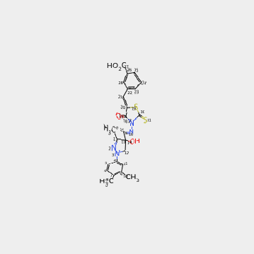 CC1=NN(c2ccc(C)c(C)c2)CC1(O)C=NN1C(=O)C(=Cc2cccc(C(=O)O)c2)SC1=S